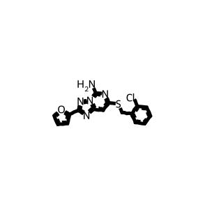 Nc1nc(SCc2ccccc2Cl)cc2nc(-c3ccco3)nn12